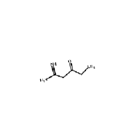 CCC(=O)[CH]C(=N)N